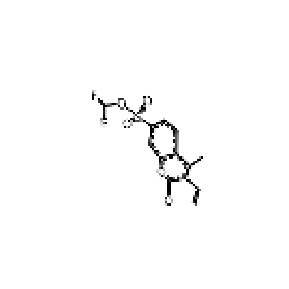 C=Cc1c(C)c2ccc(S(=O)(=O)OC(F)F)cc2oc1=O